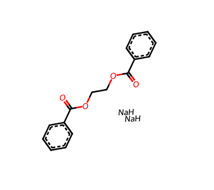 O=C(OCCOC(=O)c1ccccc1)c1ccccc1.[NaH].[NaH]